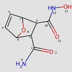 NC(=O)C1C2C=CC(O2)C1C(=O)NO